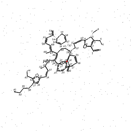 C=CC1=C(CC)[C@@H](CC)C(/C=C\CN2C(/C=C\Cc3ccccc3)=C(/C=C)CC/C(NC(C)/C=C\c3cc(CCCC)c(CC)o3)=C(/C(C)=C/C=C\C(=C)[C@H]3C=CC=CC3)C[C@@H]2C)O1